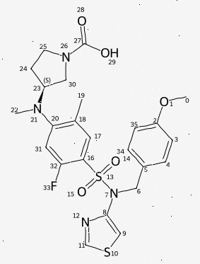 COc1ccc(CN(c2cscn2)S(=O)(=O)c2cc(C)c(N(C)[C@H]3CCN(C(=O)O)C3)cc2F)cc1